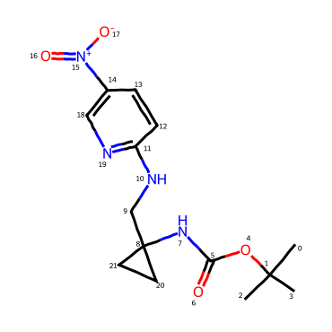 CC(C)(C)OC(=O)NC1(CNc2ccc([N+](=O)[O-])cn2)CC1